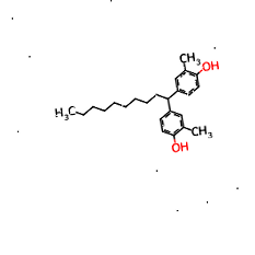 CCCCCCCCCC(c1ccc(O)c(C)c1)c1ccc(O)c(C)c1